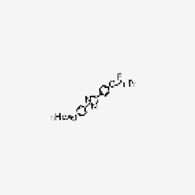 CCCCCCOc1ccc(-c2ncc(-c3ccc(OCC(F)CCC)cc3)cn2)cc1